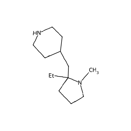 [CH2]CC1(CC2CCNCC2)CCCN1C